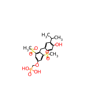 CC(C)c1cc(Cc2c(S(C)(=O)=O)cc(OCP(=O)(O)O)cc2S(C)(=O)=O)ccc1O